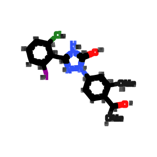 COC(=O)c1ccc(-n2nc(-c3c(Cl)cccc3I)[nH]c2=O)cc1OC